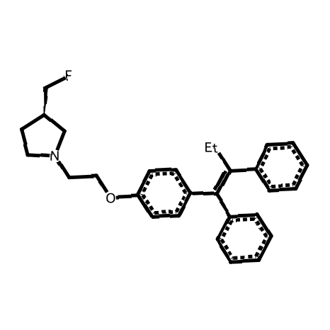 CCC(=C(c1ccccc1)c1ccc(OCCN2CC[C@@H](CF)C2)cc1)c1ccccc1